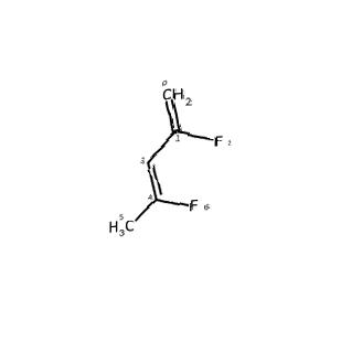 C=C(F)C=C(C)F